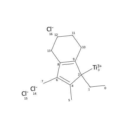 CC[C]1([Ti+3])C(C)=C(C)C2=C1CCCC2.[Cl-].[Cl-].[Cl-]